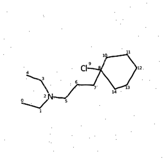 CCN(CC)CCCC1(Cl)CCCCC1